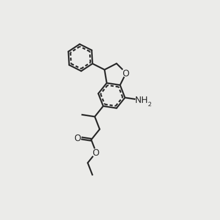 CCOC(=O)CC(C)c1cc(N)c2c(c1)C(c1ccccc1)CO2